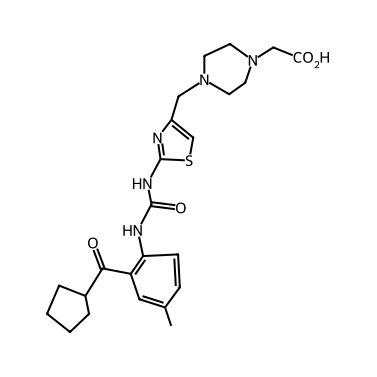 Cc1ccc(NC(=O)Nc2nc(CN3CCN(CC(=O)O)CC3)cs2)c(C(=O)C2CCCC2)c1